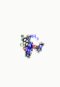 Nc1nc2c(-c3c(Cl)c4c5c(nc(OCC67CCCN6CCC7)nc5c3F)N3CC5CCC(N5)C3CO4)ccc(F)c2s1